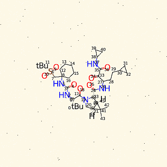 CC(C)(C)[C@H](NC(=O)NC1(CS(=O)(=O)C(C)(C)C)CCCCC1)C(=O)N1C[C@H]2[C@@H]([C@H]1C(=O)NC(CCC1CC1)C(=O)C(=O)NC1CC1)C2(C)C